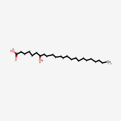 CCCCCCCCCCCCCCCCCC(O)CCCCCC(=O)O